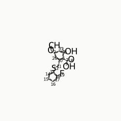 COc1cc(O)c(C(=O)O)c(CSc2ccccc2F)c1